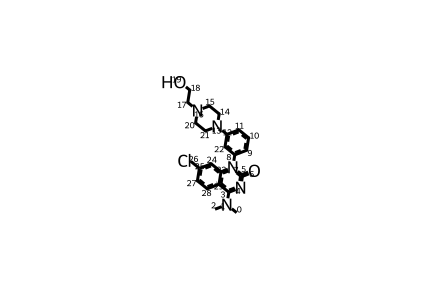 CN(C)c1nc(=O)n(-c2cccc(N3CCN(CCO)CC3)c2)c2cc(Cl)ccc12